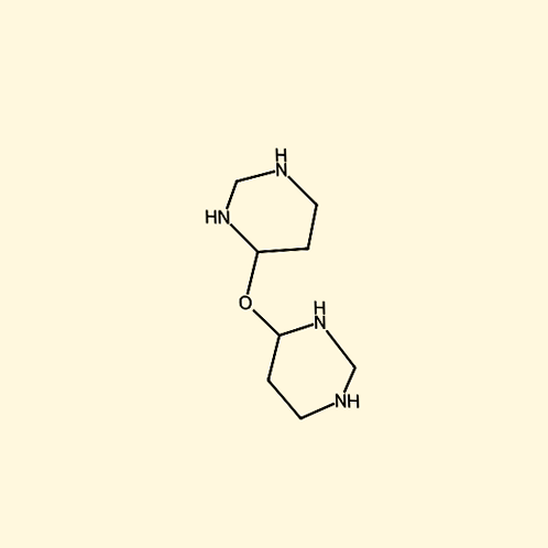 C1CC(OC2CCNCN2)NCN1